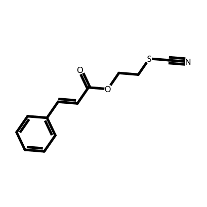 N#CSCCOC(=O)/C=C/c1ccccc1